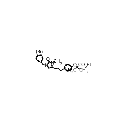 CCOC(=O)C(C)(C)Oc1ccc(CCCc2cn(Cc3ccc(C(C)(C)C)cc3)c(=O)n2C)cc1